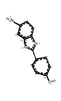 Nc1ccc2nc(-c3ccc(C=O)cc3)oc2c1